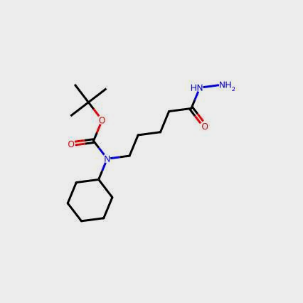 CC(C)(C)OC(=O)N(CCCCC(=O)NN)C1CCCCC1